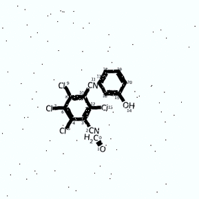 C=O.N#Cc1c(Cl)c(Cl)c(Cl)c(C#N)c1Cl.Oc1ccccc1